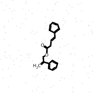 C=C(COC(=O)CC=Cc1ccccc1)c1ccccc1